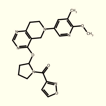 COc1ncc(N2CCc3ncnc(OC4CCCN4C(=O)c4ccon4)c3C2)cc1C